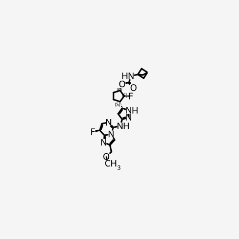 COCc1cn2c(Nc3cc([C@@H]4CC[C@H](OC(=O)NC56CC(C5)C6)[C@H]4F)[nH]n3)ncc(F)c2n1